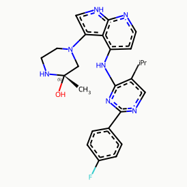 CC(C)c1cnc(-c2ccc(F)cc2)nc1Nc1ccnc2[nH]cc(N3CCN[C@@](C)(O)C3)c12